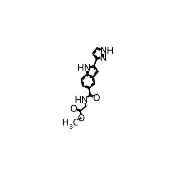 COC(=O)CNC(=O)c1ccc2[nH]c(-c3cc[nH]n3)cc2c1